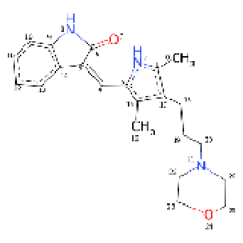 Cc1[nH]c(C=C2C(=O)Nc3ccccc32)c(C)c1CCCN1CCOCC1